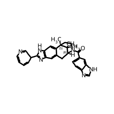 CC1(C)[C@H]2Cc3cc4nc(C5C=CC=CN=C5)[nH]c4cc3[C@]1(C)CCN2C(=O)c1ccc2nc[nH]c2c1